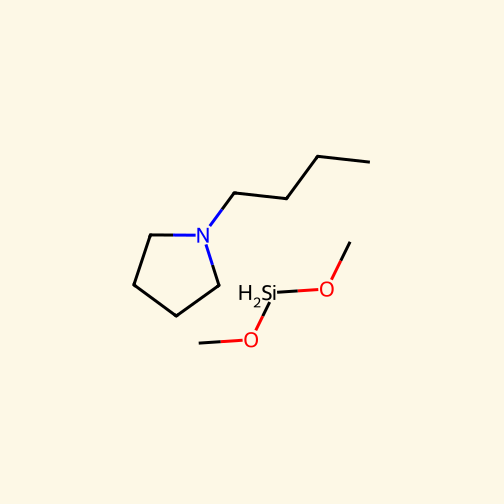 CCCCN1CCCC1.CO[SiH2]OC